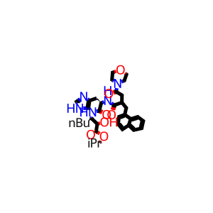 CCCC[C@H](NC(=O)[C@H](Cc1c[nH]cn1)NC(=O)C(CC(=O)N1CCOCC1)Cc1cccc2ccccc12)C(O)C(=O)OC(C)C